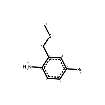 CSCc1cc(Br)ccc1N